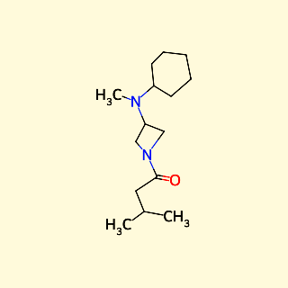 CC(C)CC(=O)N1CC(N(C)C2CCCCC2)C1